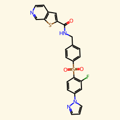 O=C(NCc1ccc(S(=O)(=O)c2ccc(-n3cccn3)cc2F)cc1)c1cc2ccncc2s1